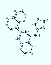 c1ccc2c(-c3nc(Nc4ncsn4)c4ccccc4n3)cccc2c1